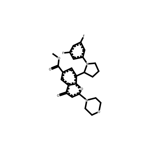 COC(=O)c1cc(C2CCCN2c2cc(F)cc(F)c2)c2oc(N3CCOCC3)cc(=O)c2c1